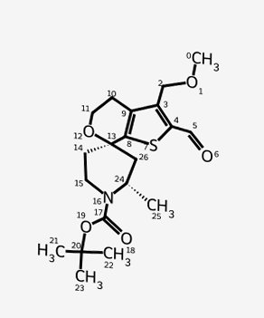 COCc1c(C=O)sc2c1CCO[C@@]21CCN(C(=O)OC(C)(C)C)[C@@H](C)C1